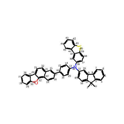 CC1(C)c2ccccc2-c2cc(N(c3ccc(-c4ccc5c(ccc6c7ccccc7oc56)c4)cc3)c3ccc4sc5ccccc5c4c3)ccc21